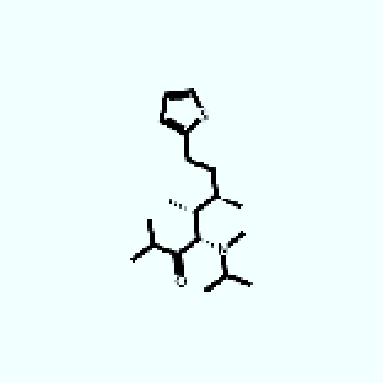 CC(C)C(=O)[C@H]([C@H](C)[C@H](C)CCc1cccs1)N(C)C(C)C